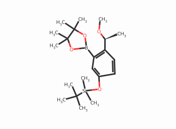 CO[C@@H](C)c1ccc(O[Si](C)(C)C(C)(C)C)cc1B1OC(C)(C)C(C)(C)O1